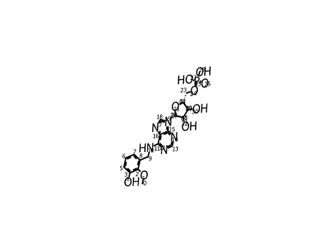 COc1c(O)cccc1CNc1ncnc2c1ncn2[C@@H]1O[C@H](COP(=O)(O)O)[C@@H](O)[C@H]1O